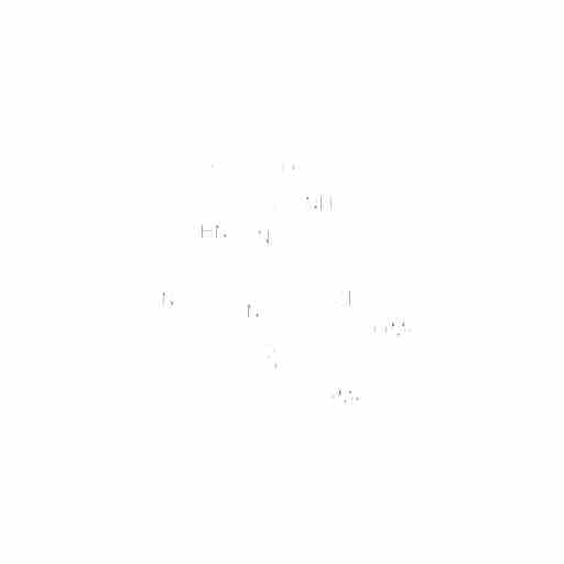 COc1cc(OC)c(Cl)c(-c2cc3cnc(NC4COCC4OC(N)=O)cc3n(CCCN(C)C)c2=O)c1Cl